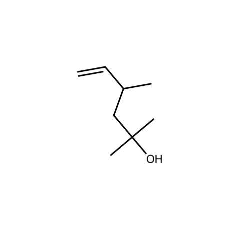 C=CC(C)CC(C)(C)O